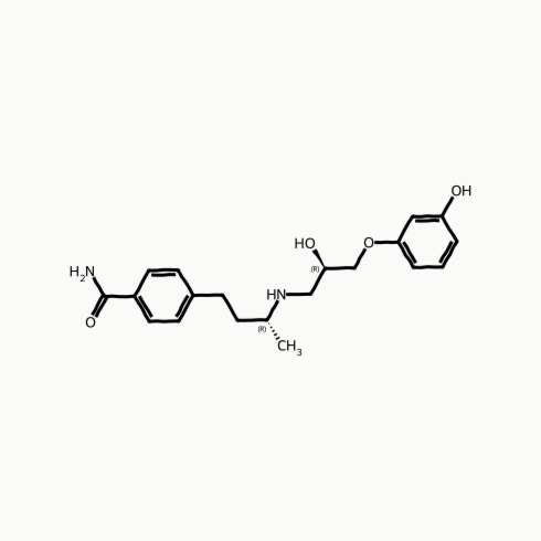 C[C@H](CCc1ccc(C(N)=O)cc1)NC[C@@H](O)COc1cccc(O)c1